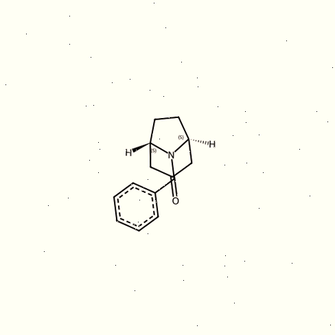 O=C1C[C@@H]2CC[C@@H](C1)N2Cc1ccccc1